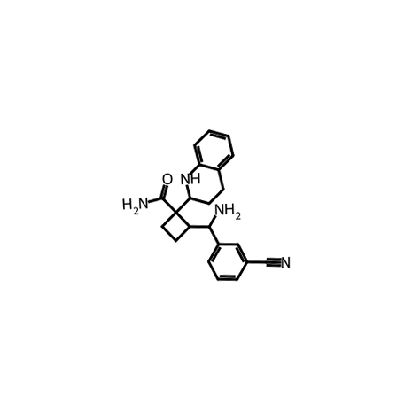 N#Cc1cccc(C(N)C2CCC2(C(N)=O)C2CCc3ccccc3N2)c1